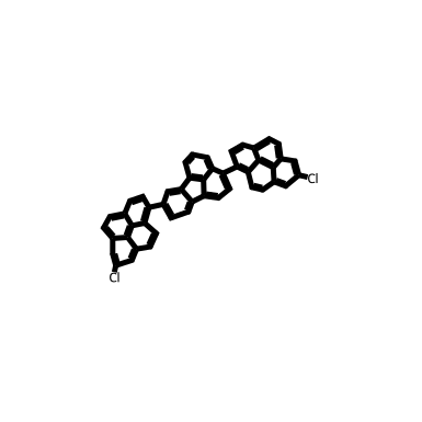 Clc1cc2ccc3ccc(-c4ccc5c(c4)-c4cccc6c(-c7ccc8ccc9cc(Cl)cc%10ccc7c8c9%10)ccc-5c46)c4ccc(c1)c2c34